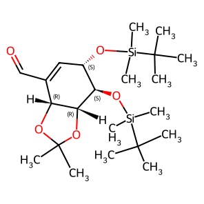 CC1(C)O[C@H]2[C@H](O[Si](C)(C)C(C)(C)C)[C@@H](O[Si](C)(C)C(C)(C)C)C=C(C=O)[C@H]2O1